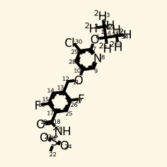 [2H]C([2H])([2H])C([2H])(Oc1ncc(OCc2cc(F)c(C(=O)NS(C)(=O)=O)cc2F)cc1Cl)C([2H])([2H])[2H]